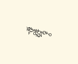 COCCN1CCN(c2ccc(C(=O)Nc3cc(F)c4nc(C)cn4c3)c3nccnc23)CC1